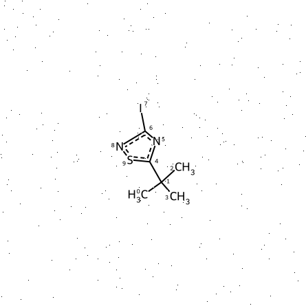 CC(C)(C)c1nc(I)ns1